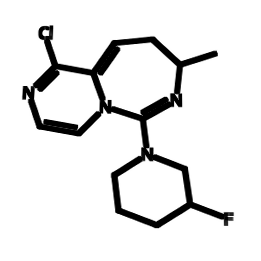 CC1CC=C2C(Cl)=NC=CN2C(N2CCCC(F)C2)=N1